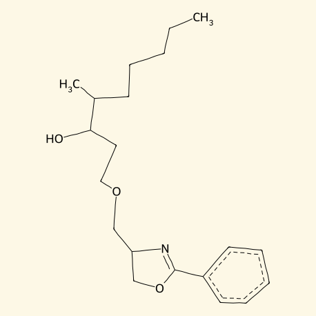 CCCCCC(C)C(O)CCOCC1COC(c2ccccc2)=N1